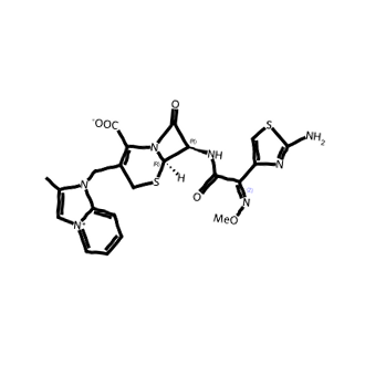 CO/N=C(\C(=O)N[C@@H]1C(=O)N2C(C(=O)[O-])=C(Cn3c(C)c[n+]4ccccc34)CS[C@H]12)c1csc(N)n1